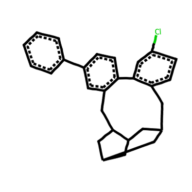 Clc1ccc2c(c1)-c1ccc(-c3ccccc3)cc1CC1CC3CC(C2)CC1C3